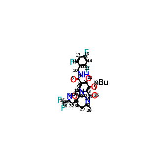 CCCCOc1c2n(cc(C(=O)NCc3c(F)cc(F)cc3F)c1=O)[C@@H]1CN(C2=O)[C@@H](C)CC[C@]12CC(C(F)F)=NO2